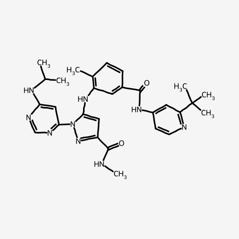 CNC(=O)c1cc(Nc2cc(C(=O)Nc3ccnc(C(C)(C)C)c3)ccc2C)n(-c2cc(NC(C)C)ncn2)n1